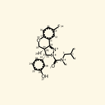 CC(C)CN(C)C(=O)N1N=C2c3cc(F)ccc3OC[C@@H]2[C@H]1c1cccc(O)c1